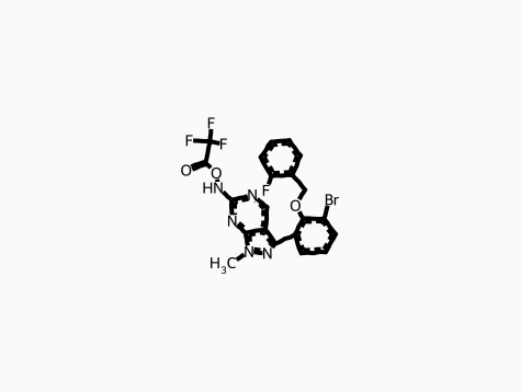 Cn1nc(-c2cccc(Br)c2OCc2ccccc2F)c2cnc(NOC(=O)C(F)(F)F)nc21